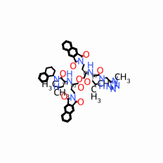 CC(C)C[C@H](N[C@H](CCN1C(=O)c2cc3ccccc3cc2C1=O)C(=O)OC(=O)[C@@H](CCN1C(=O)c2cc3ccccc3cc2C1=O)N[C@@H](CC(C)C)C(=O)NC1CCCc2ccccc21)C(=O)NCc1nnnn1C